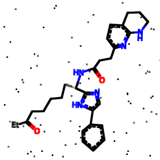 CCC(=O)CCCCC[C@H](NC(=O)CCc1ccc2c(n1)NCCC2)c1ncc(-c2ccccc2)[nH]1